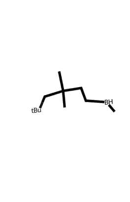 CBCCC(C)(C)CC(C)(C)C